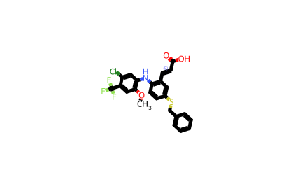 COc1cc(C(F)(F)F)c(Cl)cc1Nc1ccc(SCc2ccccc2)cc1/C=C/C(=O)O